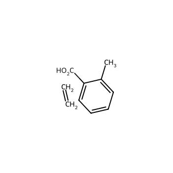 C=C.Cc1ccccc1C(=O)O